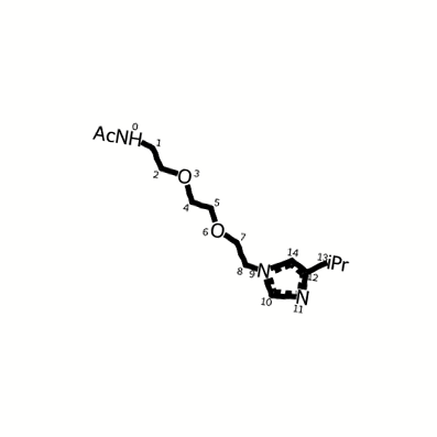 CC(=O)NCCOCCOCCn1cnc(C(C)C)c1